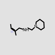 C/C=C(/C)CNCCN1CCCCC1